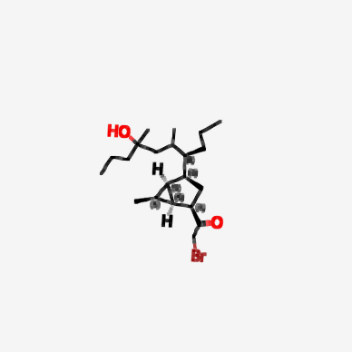 CCC[C@H](C(C)CC(C)(O)CCC)[C@H]1C[C@@H](C(=O)CBr)[C@H]2[C@@H](C)[C@@H]12